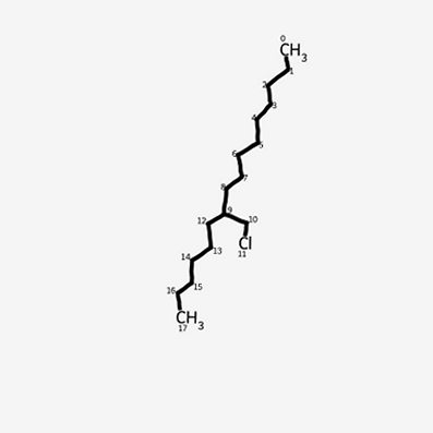 CCCCCCCCCC(CCl)CCCCCC